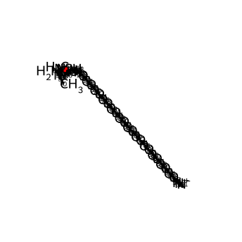 CCCCc1nc2c(N)nnc(OC(C)C)c2n1Cc1ccc(CN2CCN(CCOCCOCCOCCOCCOCCOCCOCCOCCOCCOCCOCCOCCOCCOCCOCCOCCOCCOCCOCCOCCOCCOCCOCCN=[N+]=[N-])CC2)cc1